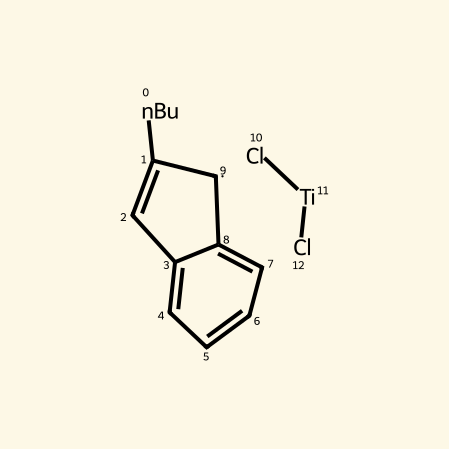 CCCCC1=Cc2ccccc2[CH]1.[Cl][Ti][Cl]